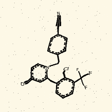 N#Cc1ccc(Cn2ccc(=O)cc2-c2cccc(C(F)(F)F)c2Cl)cc1